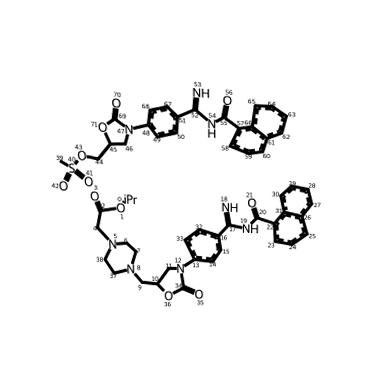 CC(C)OC(=O)CN1CCN(CC2CN(c3ccc(C(=N)NC(=O)c4cccc5ccccc45)cc3)C(=O)O2)CC1.CS(=O)(=O)OCC1CN(c2ccc(C(=N)NC(=O)c3cccc4ccccc34)cc2)C(=O)O1